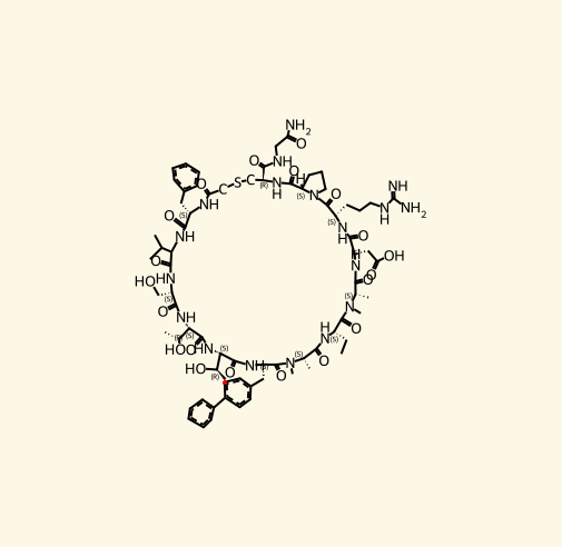 CC[C@@H]1NC(=O)[C@H](C)N(C)C(=O)[C@H](Cc2ccc(-c3ccccc3)cc2)NC(=O)[C@H]([C@@H](C)O)NC(=O)[C@H]([C@@H](C)O)NC(=O)[C@H](CO)NC(=O)C(C(C)C)NC(=O)[C@H](Cc2ccccc2)NC(=O)CSC[C@@H](C(=O)NCC(N)=O)NC(=O)[C@@H]2CCCN2C(=O)[C@H](CCCNC(=N)N)NC(=O)[C@H](CC(=O)O)NC(=O)[C@H](C)N(C)C1=O